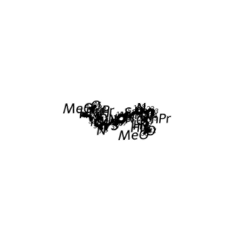 C#CCCN(Cc1ncc(-c2nc3cc4sc(-c5cnc(C6=CCC(CCC)N6C(=O)CNC(=O)OC)[nH]5)nc4cc3s2)[nH]1)C(=O)[C@@H](NC(=O)OC)C(C)C